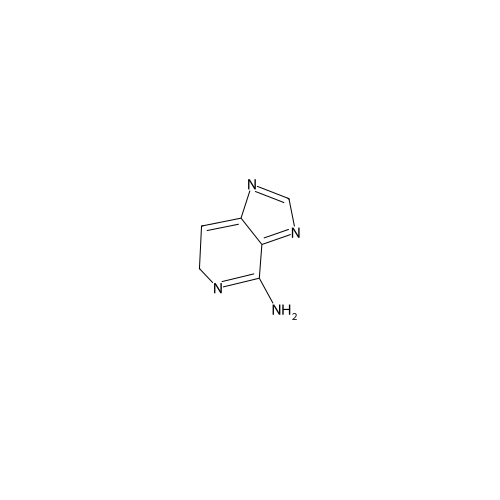 NC1=NCC=C2N=CN=C21